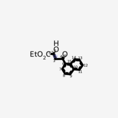 CCOC(=O)/C(O)=C/C(=O)c1cccc2ccccc12